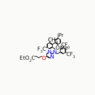 CCOC(=O)CCCOc1cnc(N(Cc2cc(C(F)(F)F)cc(C(F)(F)F)c2)Cc2cc(C(F)(F)F)cc(C)c2-c2cc(C(C)C)ccc2OC)nc1